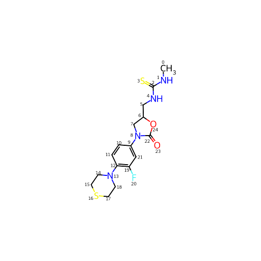 CNC(=S)NCC1CN(c2ccc(N3CCSCC3)c(F)c2)C(=O)O1